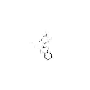 CC1CC(=O)NN=C1C1(O)N=c2ccccc2=N1